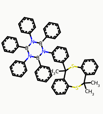 CC1(C)Sc2ccccc2C(C)(c2cccc(N3B(c4ccccc4)N(c4ccccc4)B(c4ccccc4)N(c4ccccc4)B3c3ccccc3)c2)Sc2ccccc21